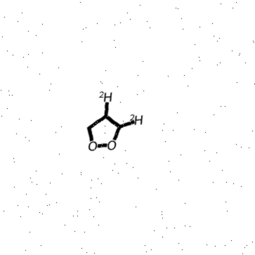 [2H]C1COOC1[2H]